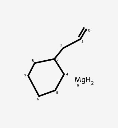 [CH]=CCC1CCCCC1.[MgH2]